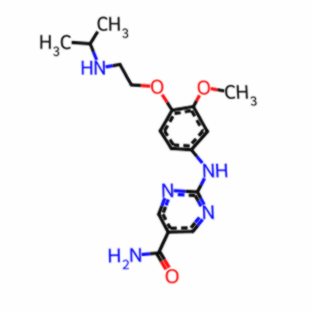 COc1cc(Nc2ncc(C(N)=O)cn2)ccc1OCCNC(C)C